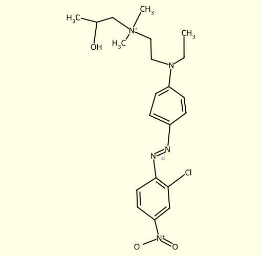 CCN(CC[N+](C)(C)CC(C)O)c1ccc(/N=N/c2ccc([N+](=O)[O-])cc2Cl)cc1